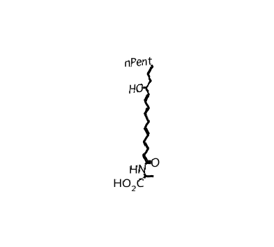 CCCCCC=CCC(O)C=CC=CCC=CCCCC(=O)NC(C)C(=O)O